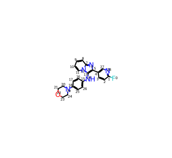 Fc1ccc(-c2nc3ccccn3c2Nc2ccc(N3CCOCC3)cc2)cn1